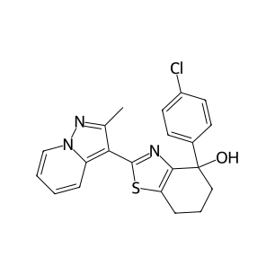 Cc1nn2ccccc2c1-c1nc2c(s1)CCCC2(O)c1ccc(Cl)cc1